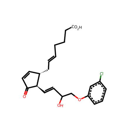 O=C(O)CCCC=CC[C@H]1C=CC(=O)[C@@H]1C=CC(O)COc1cccc(Cl)c1